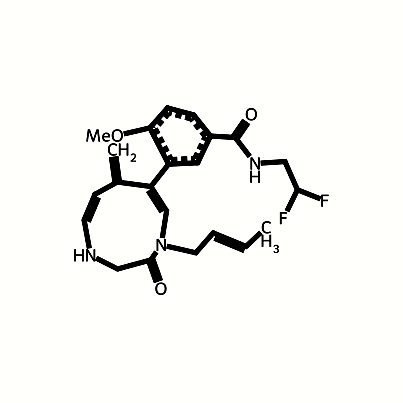 C=C1/C=C\NCC(=O)N(C/C=C/C)/C=C\1c1cc(C(=O)NCC(F)F)ccc1OC